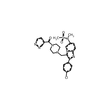 CN(c1ccc2nc(-c3ccc(Cl)cc3)c(CN3CCN(C(=O)c4ccnnc4)CC3)n2c1)S(C)(=O)=O